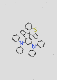 c1ccc(N(c2ccccc2)c2cc(N(c3ccccc3)c3ccccc3)c3c(c2)C2(c4ccccc4Sc4ccccc42)c2ccccc2-3)cc1